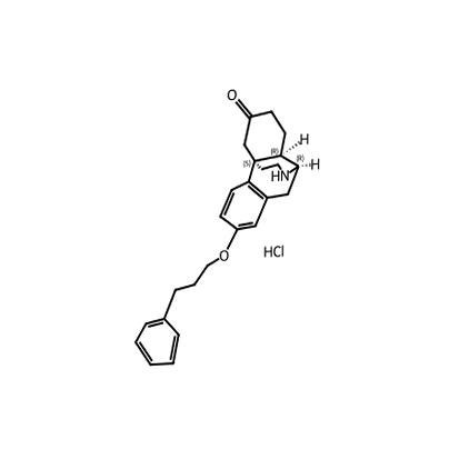 Cl.O=C1CC[C@H]2[C@H]3Cc4cc(OCCCc5ccccc5)ccc4[C@@]2(CCN3)C1